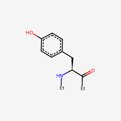 CCN[C@@H](Cc1ccc(O)cc1)C(=O)CC